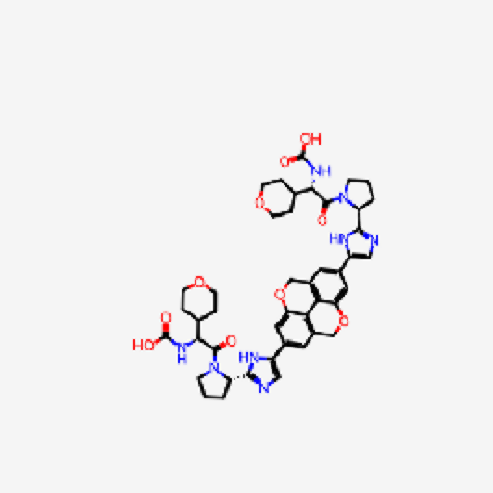 O=C(O)N[C@H](C(=O)N1CCC[C@H]1c1ncc(-c2cc3c4c(c2)OCc2cc(-c5cnc([C@@H]6CCCN6C(=O)[C@@H](NC(=O)O)C6CCOCC6)[nH]5)cc(c2-4)OC3)[nH]1)C1CCOCC1